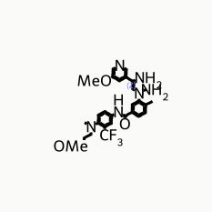 COCCN(C)c1ccc(NC(=O)c2ccc(C)c(N(N)/C=C(\N)c3cncc(OC)c3)c2)cc1C(F)(F)F